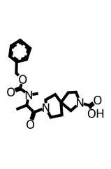 CC(C(=O)N1CCC2(CCN(C(=O)O)C2)CC1)N(C)C(=O)OCc1ccccc1